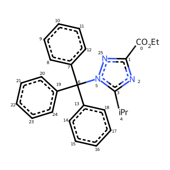 CCOC(=O)c1nc(C(C)C)n(C(c2ccccc2)(c2ccccc2)c2ccccc2)n1